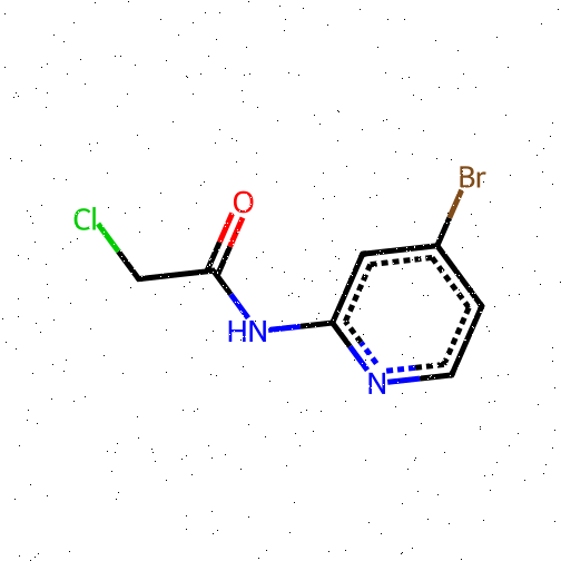 O=C(CCl)Nc1cc(Br)ccn1